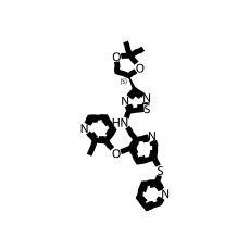 Cc1ncccc1Oc1cc(Sc2ccccn2)cnc1Nc1nc([C@H]2COC(C)(C)O2)ns1